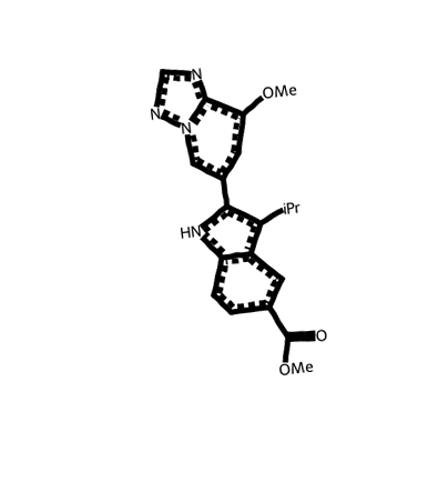 COC(=O)c1ccc2[nH]c(-c3cc(OC)c4ncnn4c3)c(C(C)C)c2c1